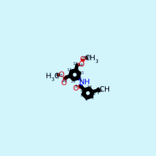 C#Cc1cccc(C(=O)Nc2cc(COOC)cc(C(=O)OC)c2)c1